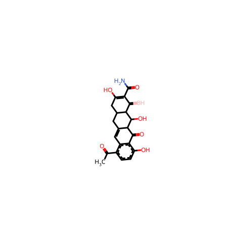 B=C1C(C(N)=O)=C(O)CC2CC3=Cc4c(C(C)=O)ccc(O)c4C(=O)C3C(O)C12